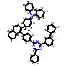 CC1(c2ccc3ccccc3c2-c2ccc(-c3nc(-c4ccccc4)nc(-c4cccc(-c5ccccc5)c4)n3)cc2)C=CC(n2c3ccccc3c3ccccc32)=CC1